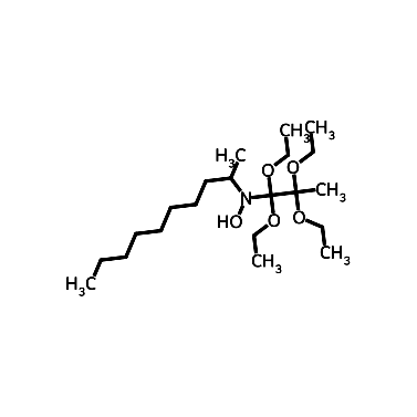 CCCCCCCCC(C)N(O)C(OCC)(OCC)C(C)(OCC)OCC